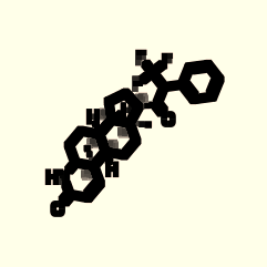 C[C@]12CC[C@H]3[C@@H](CCC4NC(=O)C=C[C@@]43C)[C@@H]1CC[C@@H]2C(=O)C(c1ccccc1)C(F)(F)F